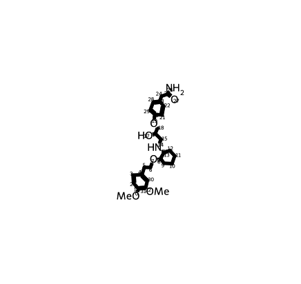 COc1ccc(CCO[C@@H]2CCCC[C@H]2NCC(O)COc2ccc(CC(N)=O)cc2)cc1OC